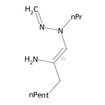 C=NN(/C=C(\N)CCCCCC)CCC